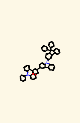 c1ccc(N(c2ccccc2)c2ccccc2-c2cccc(-c3ccc4c(c3)c3ccccc3n4-c3ccc4c(c3)-c3ccccc3C4(c3ccccc3)c3ccccc3)c2)cc1